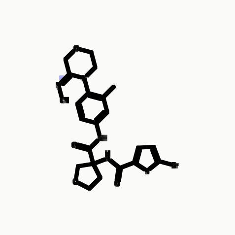 Cc1cc(NC(=O)C2(NC(=O)c3ccc(Br)s3)CCOC2)ccc1N1CCOC/C1=N/C#N